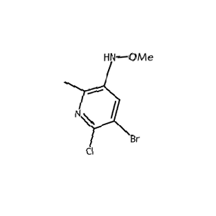 CONc1cc(Br)c(Cl)nc1C